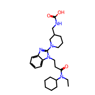 CCN(C(=O)CCn1c(N2CCCC(CNC(=O)O)C2)nc2ccccc21)C1CCCCC1